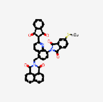 CCCCSc1ccc2c(c1)C(=O)N(c1ccc(CN3C(=O)c4cccc5cccc(c45)C3=O)c3ccc(C4C(=O)c5ccccc5C4=O)nc13)C2=O